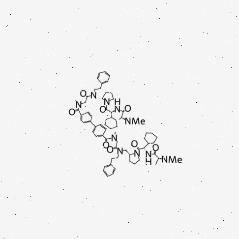 CN[C@@H](C)C(=O)N[C@H](C(=O)N1CCC[C@H]1CN(CCc1ccccc1)C(=O)CN(C)C(=O)c1ccc(-c2ccc(C(=O)N(C)CC(=O)N(CCc3ccccc3)C[C@@H]3CCCN3C(=O)[C@@H](NC(=O)[C@H](C)NC)C3CCCCC3)cc2)cc1)C1CCCCC1